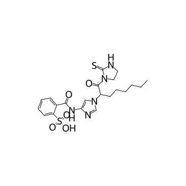 CCCCCCC(C(=O)N1CCNC1=S)n1cnc(NC(=O)c2ccccc2S(=O)(=O)O)c1